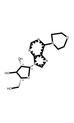 OC[C@H]1O[C@@H](n2cnc3c(N4CCOCC4)ncnc32)[C@@H](O)C1O